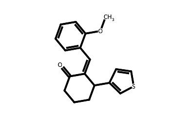 COc1ccccc1C=C1C(=O)CCCC1c1ccsc1